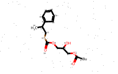 CCC(C)C(=O)OCC(O)COC(=O)SCC(C)c1ccccc1